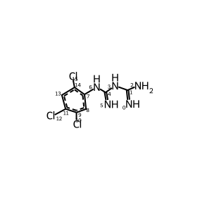 N=C(N)NC(=N)Nc1cc(Cl)c(Cl)cc1Cl